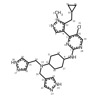 Cn1ncc(-c2nc(NC3CCC(N(Cc4cn[nH]c4)Cc4cn[nH]c4)CC3)ncc2Cl)c1CC1CC1